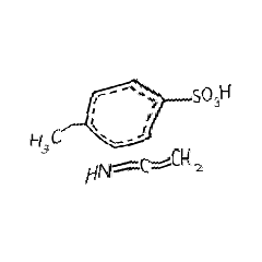 C=C=N.Cc1ccc(S(=O)(=O)O)cc1